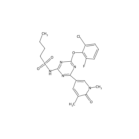 CCCCS(=O)(=O)Nc1nc(Oc2c(F)cccc2Cl)nc(-c2cc(C)c(=O)n(C)c2)n1